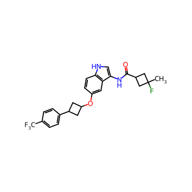 CC1(F)CC(C(=O)Nc2c[nH]c3ccc(OC4CC(c5ccc(C(F)(F)F)cc5)C4)cc23)C1